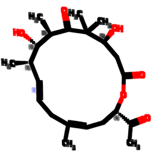 CC(=O)[C@@H]1CC=C(C)C/C=C/[C@H](C)[C@H](O)[C@@H](C)C(=O)C(C)(C)[C@@H](O)CC(=O)O1